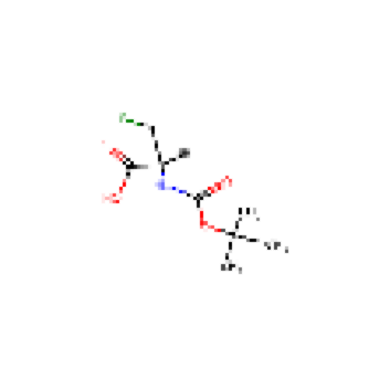 [2H]C(CF)(NC(=O)OC(C)(C)C)C(=O)O